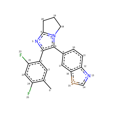 Cc1cc(-c2nc3n(c2-c2ccc4ncsc4c2)CCC3)c(F)cc1F